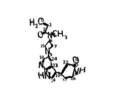 C=CC(=O)N(C)C1CN(c2cnc3[nH]cc(-c4cc[nH]c(=O)c4)c3c2)C1